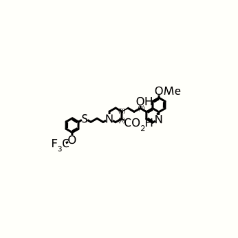 COc1ccc2nccc([C@H](O)CC[C@@H]3CCN(CCCSc4cccc(OC(F)(F)F)c4)C[C@@H]3C(=O)O)c2c1